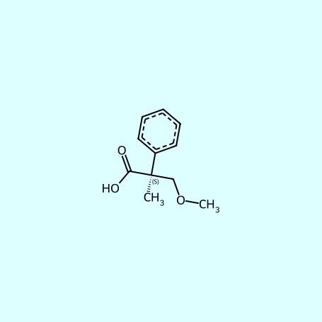 COC[C@@](C)(C(=O)O)c1ccccc1